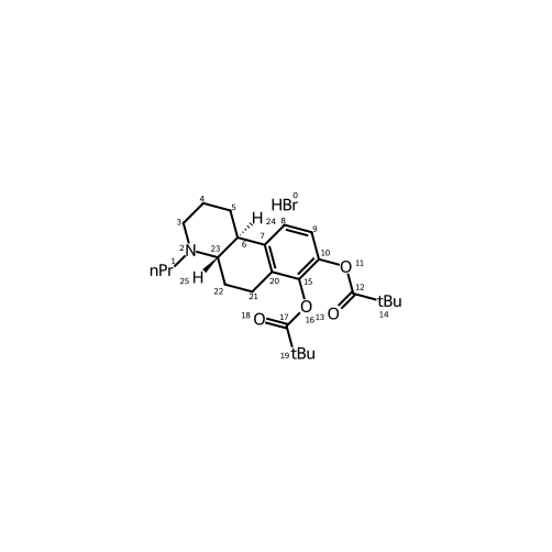 Br.CCCN1CCC[C@H]2c3ccc(OC(=O)C(C)(C)C)c(OC(=O)C(C)(C)C)c3CC[C@@H]21